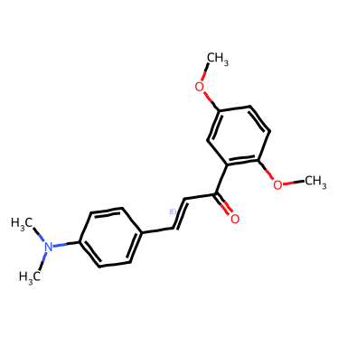 COc1ccc(OC)c(C(=O)/C=C/c2ccc(N(C)C)cc2)c1